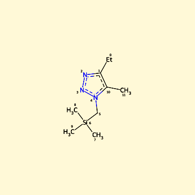 CCc1nnn(C[Si](C)(C)C)c1C